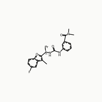 Cc1c([C@H](NC(=O)Nc2cccc(C(=O)N(C)C)c2)C(C)C)oc2ccc(F)cc12